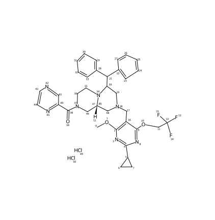 COc1nc(C2CC2)nc(OCC(F)(F)F)c1CN1CC(C(c2ccccc2)c2ccccc2)N2CCN(C(=O)c3cnccn3)C[C@H]2C1.Cl.Cl